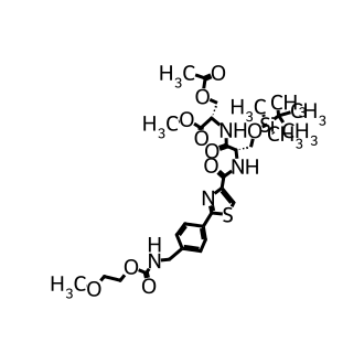 COCCOC(=O)NCc1ccc(-c2nc(C(=O)N[C@@H](CO[Si](C)(C)C(C)(C)C)C(=O)N[C@@H](COC(C)=O)C(=O)OC)cs2)cc1